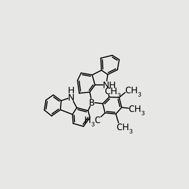 Cc1c(C)c(C)c(B(c2cccc3c2[nH]c2ccccc23)c2cccc3c2[nH]c2ccccc23)c(C)c1C